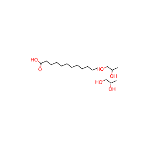 CC(O)CO.CC(O)CO.CCCCCCCCCCCC(=O)O